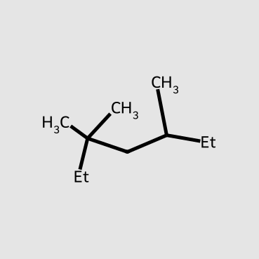 [CH2]CC(C)CC(C)(C)C[CH2]